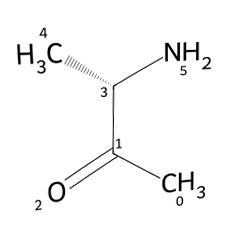 CC(=O)[C@H](C)N